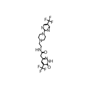 O=C(Cc1cc(C(F)(F)F)c(=O)[nH]n1)NCCN1CCN(c2ncc(C(F)(F)F)cn2)CC1